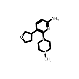 CN1CCN(c2nc(N)ccc2C2CCOC2)CC1